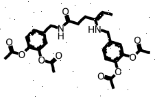 CC=C(CCC(=O)NCc1ccc(OC(C)=O)c(OC(C)=O)c1)NCc1ccc(OC(C)=O)c(OC(C)=O)c1